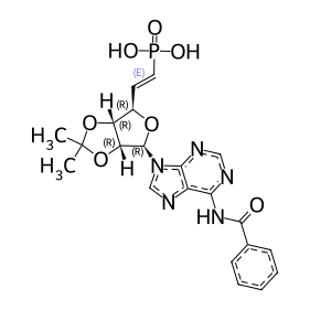 CC1(C)O[C@@H]2[C@H](O1)[C@@H](/C=C/P(=O)(O)O)O[C@H]2n1cnc2c(NC(=O)c3ccccc3)ncnc21